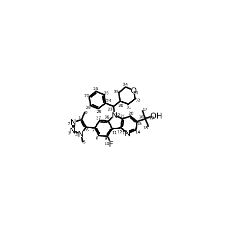 Cc1nnn(C)c1-c1cc(F)c2c3ncc(C(C)(C)O)cc3n(C(c3ccccc3)C3CCOCC3)c2c1